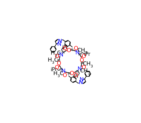 CC(C)C[C@H]1C(=O)O[C@H](Cc2ccc(Cn3ccc(-c4ccccc4)n3)cc2)C(=O)N(C)[C@@H](CC(C)C)C(=O)O[C@H](C)C(=O)N(C)[C@@H](CC(C)C)C(=O)O[C@H](Cc2ccc(Cn3ccc(-c4ccccc4)n3)cc2)C(=O)N(C)[C@@H](CC(C)C)C(=O)O[C@H](C)C(=O)N1C